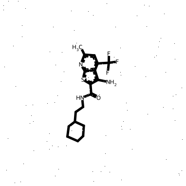 Cc1cc(C(F)(F)F)c2c(N)c(C(=O)NCCC3CCCCC3)sc2n1